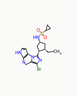 CC[C@@H]1C[C@H](NS(=O)(=O)C2CC2)C[C@@H]1c1nc(Br)c2cnc3[nH]ccc3n12